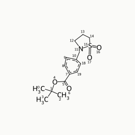 CC(C)(C)OC(=O)c1ccc(N2CCCS2(=O)=O)cc1